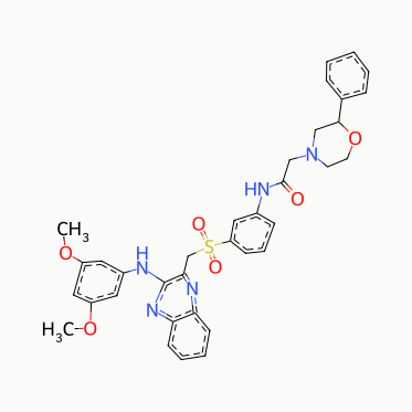 COc1cc(Nc2nc3ccccc3nc2CS(=O)(=O)c2cccc(NC(=O)CN3CCOC(c4ccccc4)C3)c2)cc(OC)c1